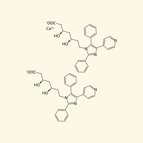 O=C([O-])C[C@H](O)C[C@H](O)CCn1c(-c2ccccc2)nc(-c2ccncc2)c1-c1ccccc1.O=C([O-])C[C@H](O)C[C@H](O)CCn1c(-c2ccccc2)nc(-c2ccncc2)c1-c1ccccc1.[Ca+2]